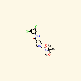 CC1(C)COCCN1C(=O)CN1CCC(C(=O)Nc2cc(Cl)cc(Cl)c2)CC1